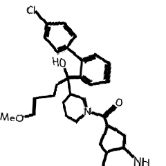 COCCCCC(O)(c1ccccc1-c1ccc(Cl)cc1)C1CCCN(C(=O)C2CC(N)C(O)C2)C1